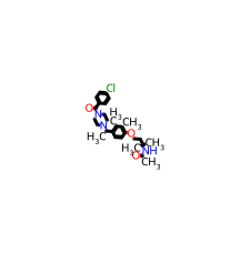 CC(=O)NC(C)(C)CCOc1ccc([C@@H](C)N2CCN(C(=O)c3ccc(Cl)cc3)CC2)c(C)c1C